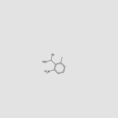 CCC(O)c1c(C)cccc1N